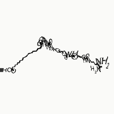 CC(N)[C@@H](N)CCCCNC(=O)COCCOCCNC(=O)COCCOCCNC(=O)CC[C@@H](C=O)NC(=O)CCCCCCCCCCCCCCCCC(=O)O